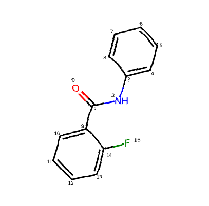 O=C(Nc1c[c]ccc1)c1ccccc1F